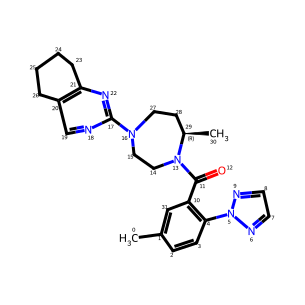 Cc1ccc(-n2nccn2)c(C(=O)N2CCN(c3ncc4c(n3)CCCC4)CC[C@H]2C)c1